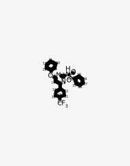 O=S(=O)(Nc1nc(Oc2ccccc2)cc(C2=CCC(C(F)(F)F)CC2)n1)c1ccccc1